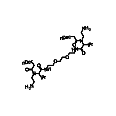 CCCCCCCCCCCC(=O)N(CCN)C(C(=O)NCCOCCOCCNC(=O)C(C(C)C)N(CCN)C(=O)CCCCCCCCCCC)C(C)C